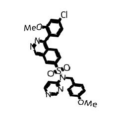 COc1ccc(CN(c2ccncn2)S(=O)(=O)c2ccc3c(-c4ccc(Cl)cc4OC)nncc3c2)cc1